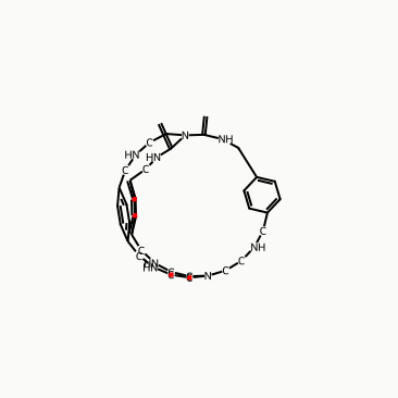 C=C1NCc2ccc(cc2)CNCCN2CCNCc3ccc(cc3)CNCCN1C(=C)NCc1ccc(cc1)CNCC2